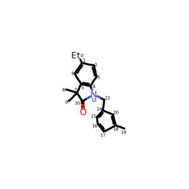 CCc1ccc2c(c1)C(C)(C)C(=O)N2Cc1cccc(C)c1